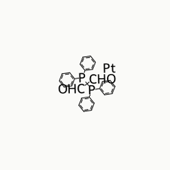 O=CC(C=O)(P(c1ccccc1)c1ccccc1)P(c1ccccc1)c1ccccc1.[Pt]